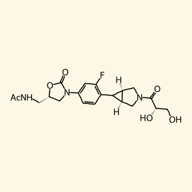 CC(=O)NC[C@H]1CN(c2ccc(C3[C@H]4CN(C(=O)[C@@H](O)CO)C[C@@H]34)c(F)c2)C(=O)O1